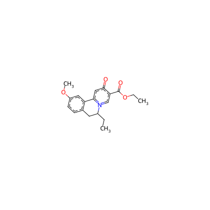 CCOC(=O)c1cn2c(cc1=O)-c1cc(OC)ccc1CC2CC